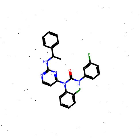 CC(Nc1nccc(N(C(=O)Nc2cccc(F)c2)c2ccccc2F)n1)c1ccccc1